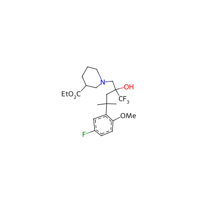 CCOC(=O)C1CCCN(CC(O)(CC(C)(C)c2cc(F)ccc2OC)C(F)(F)F)C1